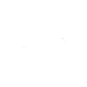 CCCCCCCCCCCCCCCCCCCCCCCCC(=O)OCC(O)COP(=O)(O)O